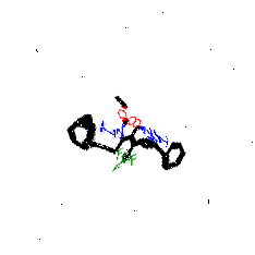 CCOC(=O)NC(Cc1ccccc1)c1c(C(F)(F)F)cc(-c2ccccc2)[nH]c1=O